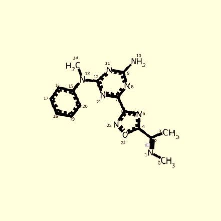 C/N=C(\C)c1nc(-c2nc(N)nc(N(C)c3ccccc3)n2)no1